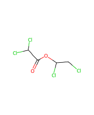 O=C(OC(Cl)CCl)C(Cl)Cl